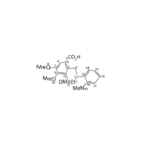 CCC(Cc1c(C(=O)O)cc(OC)c(OC)c1OC)c1ccccc1NC